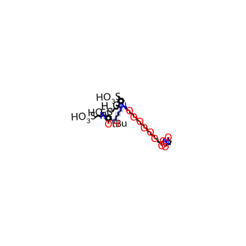 CCN(CCCS(=O)(=O)O)c1ccc(/C(=C\C/C=C/C=C2/N(CCOCCOCCOCCOCCOCCOCCC(=O)ON3C(=O)CCC3=O)c3ccc(S(=O)(=O)O)cc3C2(C)CCCS(=O)(=O)O)C(C)(C)C)c(O)c1